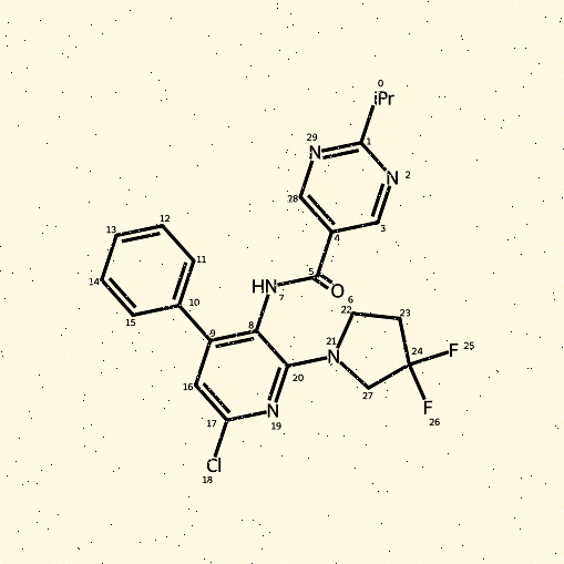 CC(C)c1ncc(C(=O)Nc2c(-c3ccccc3)cc(Cl)nc2N2CCC(F)(F)C2)cn1